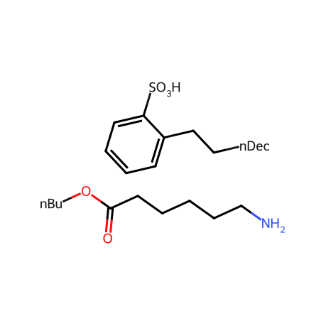 CCCCCCCCCCCCc1ccccc1S(=O)(=O)O.CCCCOC(=O)CCCCCN